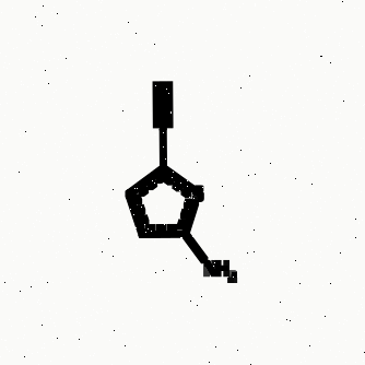 C#Cc1ccc(N)s1